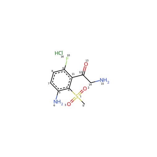 CS(=O)(=O)c1c(N)ccc(F)c1C(=O)CN.Cl